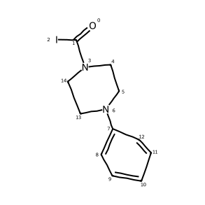 O=C(I)N1CCN(c2ccccc2)CC1